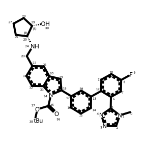 Cn1cnnc1-c1cc(F)ccc1-c1cccc(-c2cc3cc(CN[C@@H]4CCC[C@@H]4O)ccc3n2C(=O)OC(C)(C)C)c1